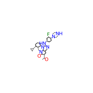 CC(=O)c1cc2cnc(Nc3ccc(N4CCNCC4)c(F)c3)nc2n(Cc2ccccc2C2CC2)c1=O